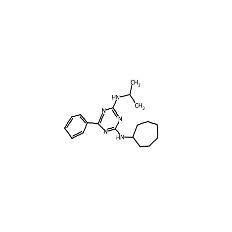 CC(C)Nc1nc(NC2CCCCCC2)nc(-c2ccccc2)n1